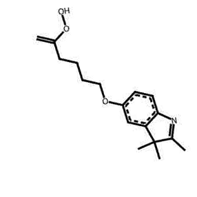 C=C(CCCCOc1ccc2c(c1)C(C)(C)C(C)=N2)OO